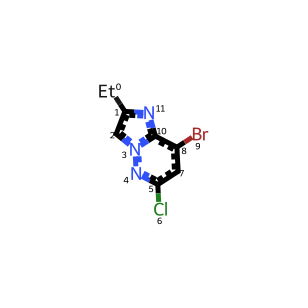 CCc1cn2nc(Cl)cc(Br)c2n1